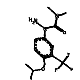 CC(C)Oc1ccc(N(N)C(=O)N(C)C)cc1C(F)(F)F